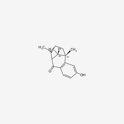 C[C@H]1C2C(=O)c3ccc(O)cc3[C@@]1(C)CCN2C